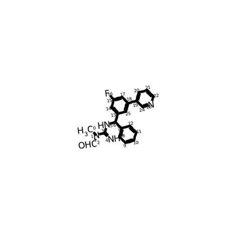 CN(C=O)C(=N)NC(c1ccccc1)c1cc(F)cc(-c2cccnc2)c1